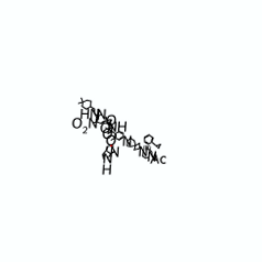 CC(=O)N1CCN(C2CC3(CCN(c4ccc(C(=O)NS(=O)(=O)c5cnc(NCC6CCC(C)(C)CC6)c([N+](=O)[O-])c5)c(Oc5cnc6[nH]ccc6c5)c4)CC3)C2)[C@H](c2ccccc2C2CC2)C1